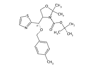 Cc1ccc(CO[C@H](c2nccs2)C2COC(C)(C)N2C(=O)OC(C)(C)C)cc1